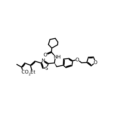 CCOC(=O)/C(C)=C\C(C)=C\c1csc([C@H](Cc2ccc(OCc3ccoc3)cc2)NC(=O)C2CCCCC2)n1